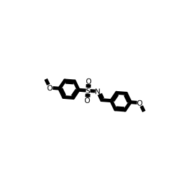 COc1ccc(C=NS(=O)(=O)c2ccc(OC)cc2)cc1